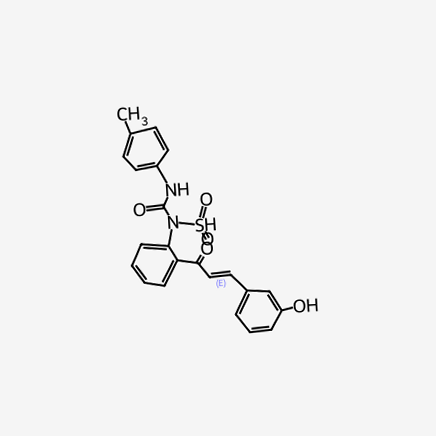 Cc1ccc(NC(=O)N(c2ccccc2C(=O)/C=C/c2cccc(O)c2)[SH](=O)=O)cc1